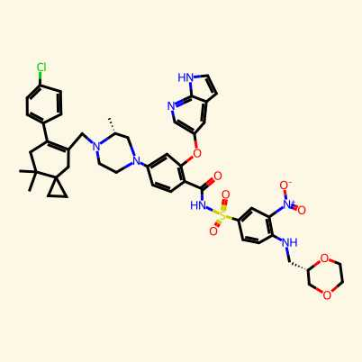 C[C@@H]1CN(c2ccc(C(=O)NS(=O)(=O)c3ccc(NC[C@H]4COCCO4)c([N+](=O)[O-])c3)c(Oc3cnc4[nH]ccc4c3)c2)CCN1CC1=C(c2ccc(Cl)cc2)CC(C)(C)C2(CC2)C1